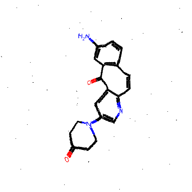 Nc1ccc2ccc3ncc(N4CCC(=O)CC4)cc3c(=O)c2c1